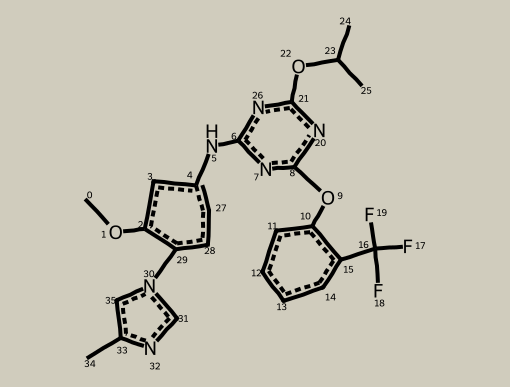 COc1cc(Nc2nc(Oc3ccccc3C(F)(F)F)nc(OC(C)C)n2)ccc1-n1cnc(C)c1